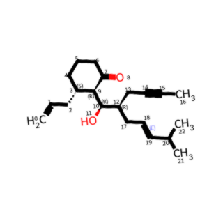 C=CC[C@@H]1CCCC(=O)[C@H]1[C@H](O)[C@@H](CC#CC)C/C=C/C(C)C